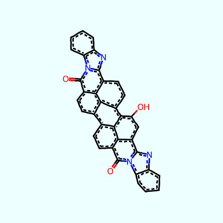 O=c1c2ccc3c4ccc5c(=O)n6c7ccccc7nc6c6cc(O)c(c7ccc(c2c37)c2nc3ccccc3n12)c4c56